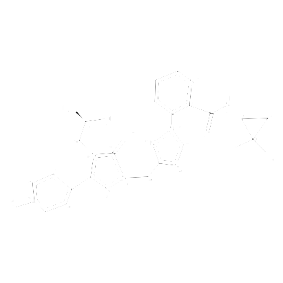 O=C(NC1CC1(F)F)c1ncccc1-n1cnc(Cn2nc(-c3ccc(Cl)cc3)n(C[C@H](O)C(F)(F)F)c2=O)n1